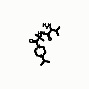 CC(C)C(N)C(=O)NC(C)(C)C(=O)N1CCN(C(C)C)CC1